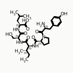 CC[C@H](C)[C@H](NC(=O)[C@@H]1CCCN1C(=O)[C@@H](N)Cc1ccc(O)cc1)C(=O)N[C@@H](CO)C(=O)N[C@@H](CC(C)C)C(=O)O